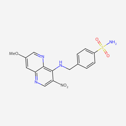 COc1cnc2c(NCc3ccc(S(N)(=O)=O)cc3)c([N+](=O)[O-])cnc2c1